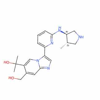 C[C@H]1CNC[C@@H]1Nc1cccc(-c2cnc3cc(CO)c(C(C)(C)O)cn23)n1